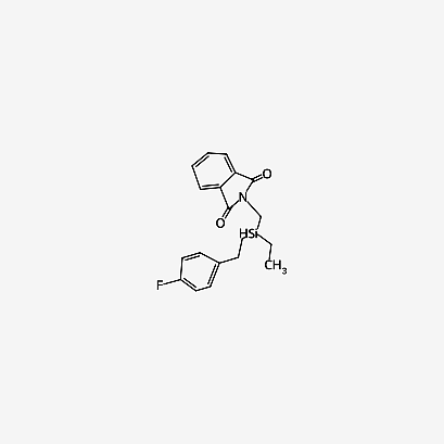 CC[SiH](CCc1ccc(F)cc1)CN1C(=O)c2ccccc2C1=O